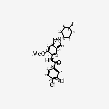 COc1cc2nn([C@H]3CC[C@H](I)CC3)cc2cc1NC(=O)c1ccc(Cl)c(Cl)c1